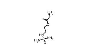 C=CC(=O)OCCNP(N)(N)=O